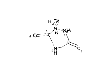 O=c1[nH][nH]c(=O)[nH]1.[TeH2]